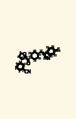 N#Cc1cncc([C@@H]2CCON2C(=O)[C@H]2CC[C@H](Cn3cnc4cc(F)ccc43)CC2)c1